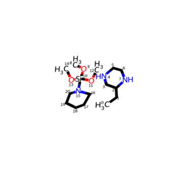 CCC1CNCCN1.CO[Si](OC)(OC)N1CCCCC1